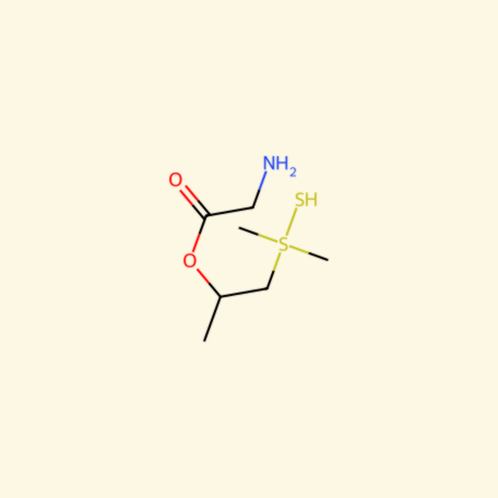 CC(CS(C)(C)S)OC(=O)CN